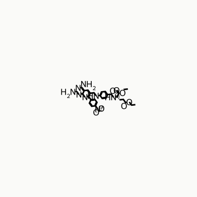 CCOC(=O)CC[C@H](NC(=O)c1ccc(NCc2cc3c(N)nc(N)nc3nc2-c2ccc([N+](=O)[O-])cc2)cc1)C(=O)OCC